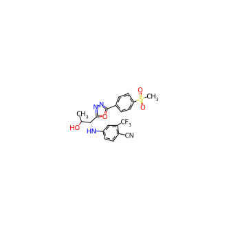 CC(O)[C@@H](Nc1ccc(C#N)c(C(F)(F)F)c1)c1nnc(-c2ccc(S(C)(=O)=O)cc2)o1